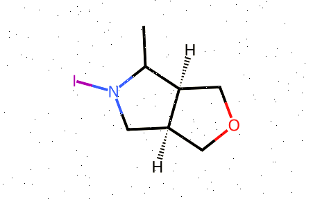 CC1[C@H]2COC[C@H]2CN1I